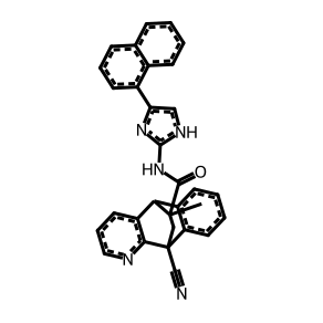 CC1(C(=O)Nc2nc(-c3cccc4ccccc34)c[nH]2)CC2(C#N)c3ccccc3C1c1cccnc12